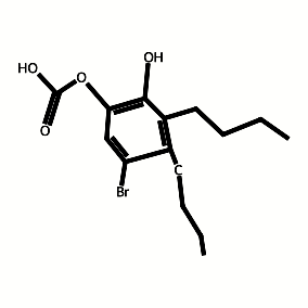 CCCCc1c(Br)cc(OC(=O)O)c(O)c1CCCC